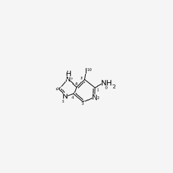 Nc1ncc2nc[nH]c2c1I